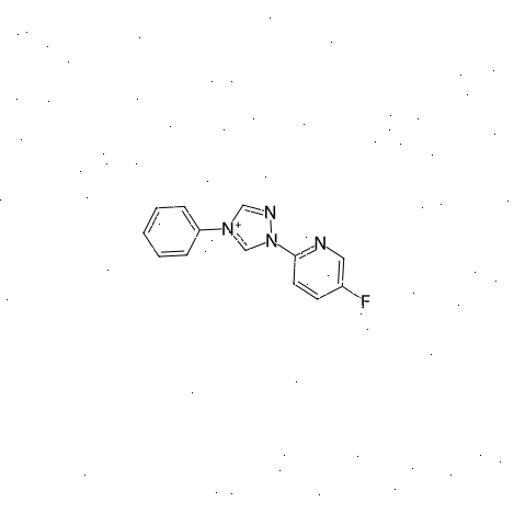 Fc1ccc(-n2c[n+](-c3ccccc3)cn2)nc1